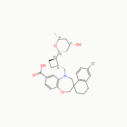 C[C@@H]1C[C@H](O)C[C@H]([C@@H]2CC[C@H]2CN2CC3(CCCc4cc(Cl)ccc43)COc3ccc(C(=O)O)cc32)O1